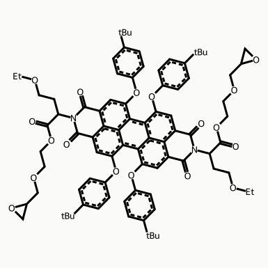 CCOCCC(C(=O)OCCOCC1CO1)N1C(=O)c2cc(Oc3ccc(C(C)(C)C)cc3)c3c4c(Oc5ccc(C(C)(C)C)cc5)cc5c6c(cc(Oc7ccc(C(C)(C)C)cc7)c(c7c(Oc8ccc(C(C)(C)C)cc8)cc(c2c37)C1=O)c64)C(=O)N(C(CCOCC)C(=O)OCCOCC1CO1)C5=O